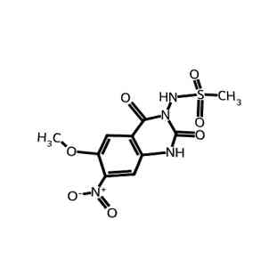 COc1cc2c(=O)n(NS(C)(=O)=O)c(=O)[nH]c2cc1[N+](=O)[O-]